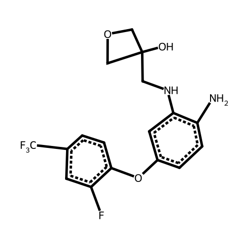 Nc1ccc(Oc2ccc(C(F)(F)F)cc2F)cc1NCC1(O)COC1